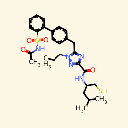 CCCn1nc(C(=O)NC(CS)CC(C)C)nc1Cc1ccc(-c2ccccc2S(=O)(=O)NC(C)=O)cc1